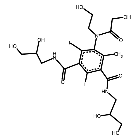 Cc1c(C(=O)NCC(O)CO)c(I)c(C(=O)NCC(O)CO)c(I)c1N(CCO)C(=O)CO